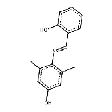 Cc1cc(O)cc(C)c1/N=C/c1ccccc1O